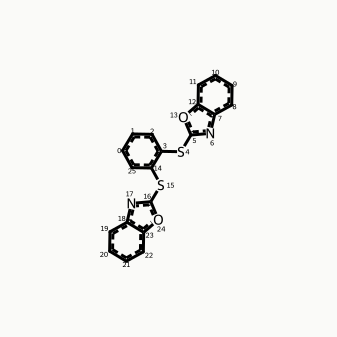 c1ccc(Sc2nc3ccccc3o2)c(Sc2nc3ccccc3o2)c1